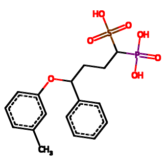 Cc1cccc(OC(CCC(P(=O)(O)O)S(=O)(=O)O)c2ccccc2)c1